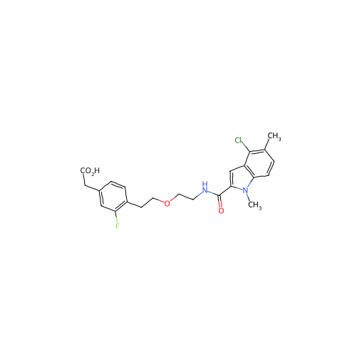 Cc1ccc2c(cc(C(=O)NCCOCCc3ccc(CC(=O)O)cc3F)n2C)c1Cl